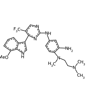 COc1cccc2c(-c3nc(Nc4ccc(N(C)CCN(C)C)c(N)c4)ncc3C(F)(F)F)c[nH]c12